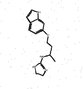 CC(CCOc1ccc2cc[nH]c2c1)NC1=NCCN1